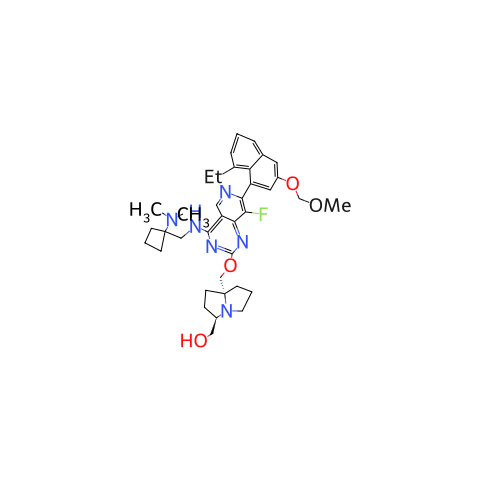 CCc1cccc2cc(OCOC)cc(-c3ncc4c(NCC5(N(C)C)CCC5)nc(OC[C@]56CCCN5[C@@H](CO)CC6)nc4c3F)c12